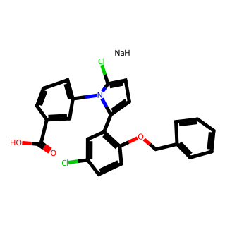 O=C(O)c1cccc(-n2c(Cl)ccc2-c2cc(Cl)ccc2OCc2ccccc2)c1.[NaH]